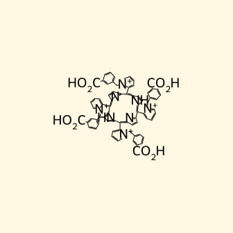 O=C(O)c1cccc(C[n+]2ccccc2-c2c3nc(c(-c4cccc[n+]4Cc4cccc(C(=O)O)c4)c4ccc([nH]4)c(-c4cccc[n+]4Cc4cccc(C(=O)O)c4)c4nc(c(-c5cccc[n+]5Cc5cccc(C(=O)O)c5)c5ccc2[nH]5)C=C4)C=C3)c1